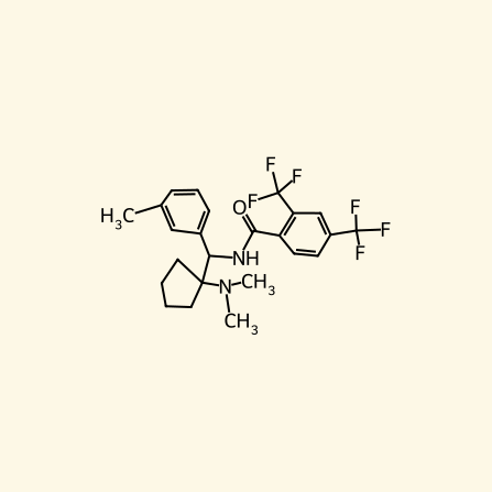 Cc1cccc(C(NC(=O)c2ccc(C(F)(F)F)cc2C(F)(F)F)C2(N(C)C)CCCC2)c1